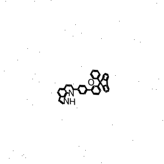 c1ccc2c(c1)Oc1c(-c3ccc(-c4ccc5ccc6cc[nH]c6c5n4)cc3)cccc1C21c2ccccc2-c2ccccc21